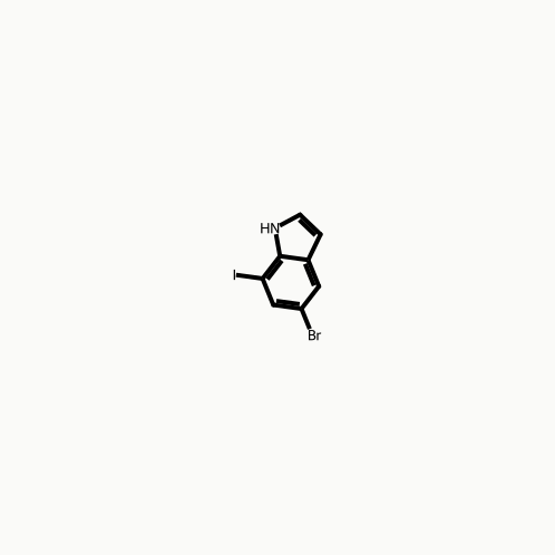 Brc1cc(I)c2[nH]ccc2c1